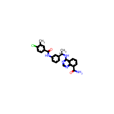 Cc1cc(C(=O)Nc2cccc([C@@H](C)Nc3ncnc4c(C(N)=O)cccc34)c2)ccc1Cl